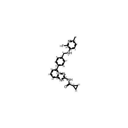 Cc1ccc(NCc2ccc(-c3cccc4nc(NC(=O)C5CC5)nn34)cc2)c(F)n1